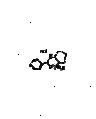 CC(NC1CCCCC1C(=O)O)c1ccccc1.Cl